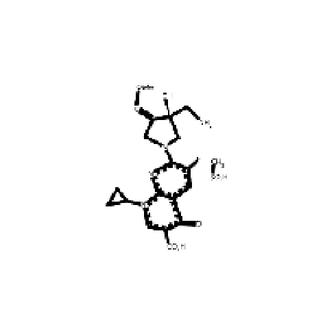 CO/N=C1/CN(c2nc3c(cc2F)c(=O)c(C(=O)O)cn3C2CC2)C[C@@]1(C)CN.CS(=O)(=O)O